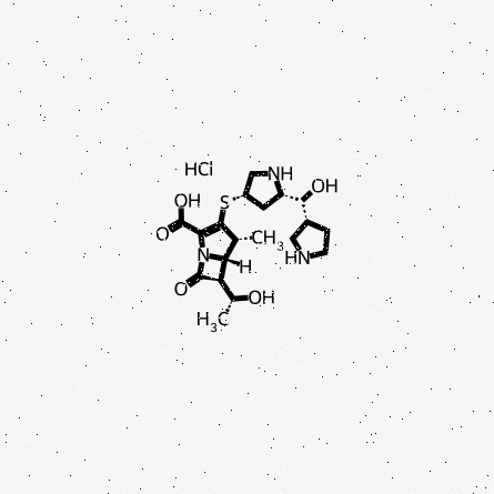 C[C@@H](O)[C@H]1C(=O)N2C(C(=O)O)=C(S[C@@H]3CN[C@H](C(O)[C@@H]4CCNC4)C3)[C@H](C)[C@H]12.Cl